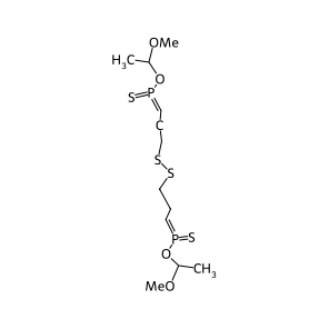 COC(C)O/P(=S)=C/CCSSCC/C=P(=S)/OC(C)OC